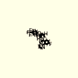 O=C(c1ccc(F)cc1-c1ncccn1)N1C[C@@H]2CC[C@H]1[C@H](Oc1cnc(C(F)(F)F)cn1)C2